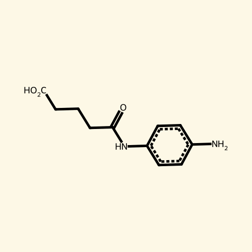 Nc1ccc(NC(=O)CCCC(=O)O)cc1